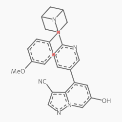 COc1ccc(CN2C3CC2CN(c2ccc(-c4cc(O)cn5ncc(C#N)c45)cn2)C3)nc1